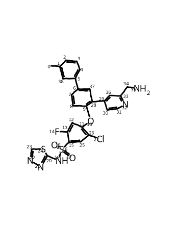 Cc1cccc(-c2ccc(Oc3cc(F)c(S(=O)(=O)Nc4nncs4)cc3Cl)c(-c3ccnc(CN)c3)c2)c1